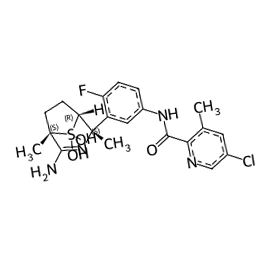 Cc1cc(Cl)cnc1C(=O)Nc1ccc(F)c([C@]2(C)N=C(N)[C@]3(C)CC[C@H]2S3(O)O)c1